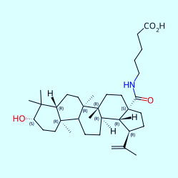 C=C(C)[C@@H]1CC[C@]2(C(=O)NCCCCC(=O)O)CC[C@]3(C)[C@H](CCC4[C@@]5(C)CC[C@H](O)C(C)(C)[C@@H]5CC[C@]43C)[C@@H]12